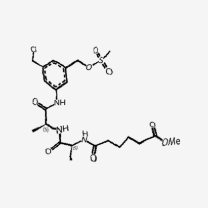 COC(=O)CCCCC(=O)N[C@@H](C)C(=O)N[C@@H](C)C(=O)Nc1cc(CCl)cc(COS(C)(=O)=O)c1